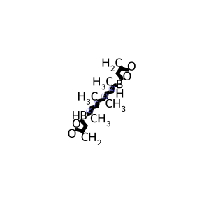 C=C1CC(B/C(C)=C/C=C(C)/C(C)=C/C=C(\C)BC2CC(=C)C(=O)O2)OC1=O